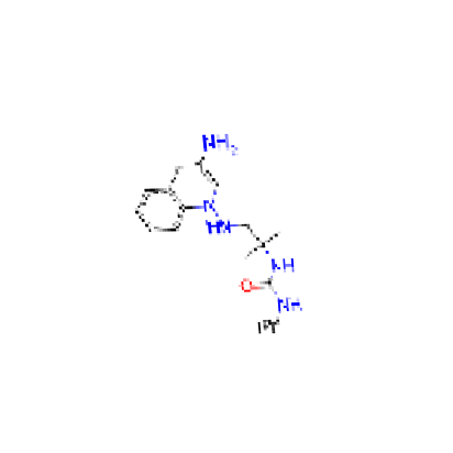 CC(C)NC(=O)NC(C)(C)CNN1C=C(N)Cc2ccccc21